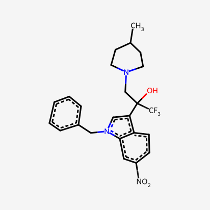 CC1CCN(CC(O)(c2cn(Cc3ccccc3)c3cc([N+](=O)[O-])ccc23)C(F)(F)F)CC1